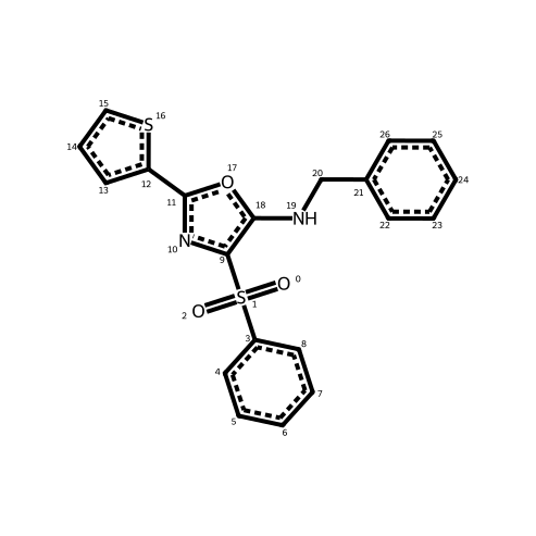 O=S(=O)(c1ccccc1)c1nc(-c2cccs2)oc1NCc1ccccc1